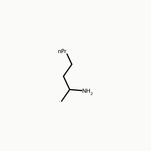 [CH2]CCCCC([CH2])N